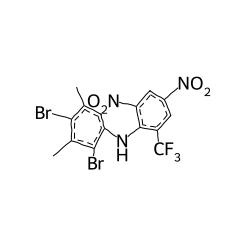 Cc1cc(Nc2c([N+](=O)[O-])cc([N+](=O)[O-])cc2C(F)(F)F)c(Br)c(C)c1Br